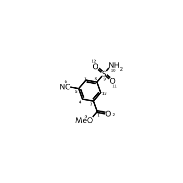 COC(=O)c1cc(C#N)cc(S(N)(=O)=O)c1